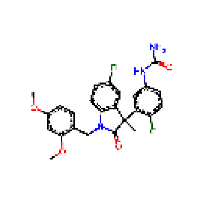 COc1ccc(CN2C(=O)C(C)(c3cc(NC(N)=O)ccc3Cl)c3cc(Cl)ccc32)c(OC)c1